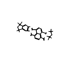 CC1(C)CC(C)(C)n2c(=O)c3ccc4c(=O)n5c6cc7c(cc6nc5c5ccc(c2=N1)c3c45)C(C)(C)CC7(C)C